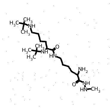 CNNC(=O)C(N)CCCCNC(=O)C(CCCCNC(C)(C)C)NC(C)(C)C